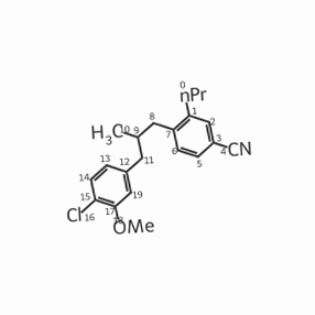 CCCc1cc(C#N)ccc1CC(C)Cc1ccc(Cl)c(OC)c1